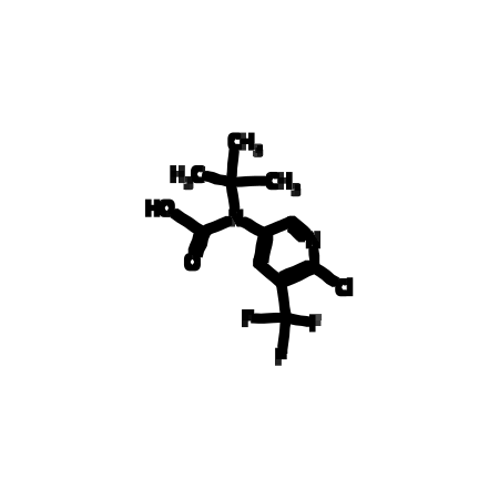 CC(C)(C)N(C(=O)O)c1cnc(Cl)c(C(F)(F)F)c1